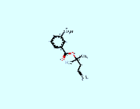 C=CCC(C)(C)OC(=O)c1cccc(C(=O)O)c1